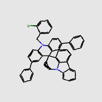 Brc1ccccc1CN1c2ccc(-c3ccccc3)cc2C2(c3cc(-c4ccccc4)ccc31)c1ccccc1-n1c3ccccc3c3cccc2c31